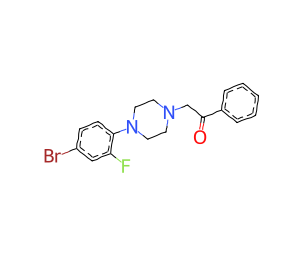 O=C(CN1CCN(c2ccc(Br)cc2F)CC1)c1ccccc1